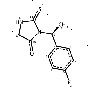 C[C@@H](c1ccc(F)cc1)N1C(=O)CNC1=S